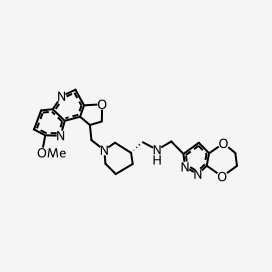 COc1ccc2ncc3c(c2n1)C(CN1CCC[C@@H](CNCc2cc4c(nn2)OCCO4)C1)CO3